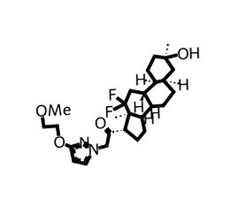 COCCOc1ccn(CC(=O)[C@H]2CC[C@H]3[C@@H]4CC[C@@H]5C[C@](C)(O)CC[C@@H]5[C@H]4CC(F)(F)[C@]23C)n1